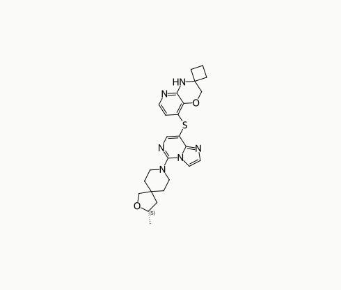 C[C@H]1CC2(CCN(c3ncc(Sc4ccnc5c4OCC4(CCC4)N5)c4nccn34)CC2)CO1